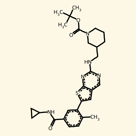 Cc1ccc(C(=O)NC2CC2)cc1-c1cc2cnc(NCC3CCCN(C(=O)OC(C)(C)C)C3)nc2s1